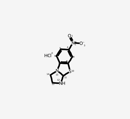 Cl.O=[N+]([O-])c1ccc2c(c1)SC1NCCN21